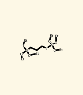 CCO[Si](CCCS[Si](OCC)(OCC)OCC)(OCC)OCC